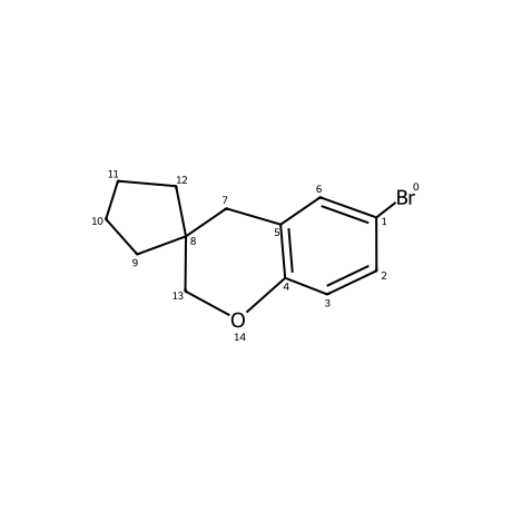 Brc1ccc2c(c1)CC1(CCCC1)CO2